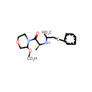 C[C@H](NC(CCc1ccccc1)C(=O)O)C(=O)N1CCOCC1OC(=O)O